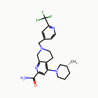 C[C@@H]1CCCN(c2cc(C(N)=O)nc3c2CCN(Cc2ccnc(C(F)(F)F)c2)C3)C1